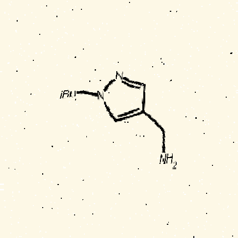 CCC(C)n1cc(CN)cn1